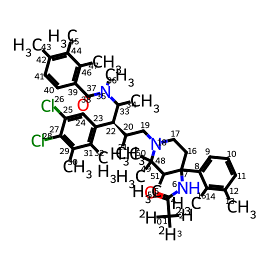 [2H]C([2H])([2H])C(=O)NC1(c2cccc(C)c2C)CCN(CC(C)[C@@H](c2cc(Cl)c(Cl)c(C)c2C)C(C)N(C)C(=O)c2ccc(C)c(C)c2C)C(C)(C)C1C